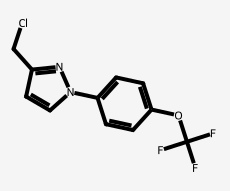 FC(F)(F)Oc1ccc(-n2ccc(CCl)n2)cc1